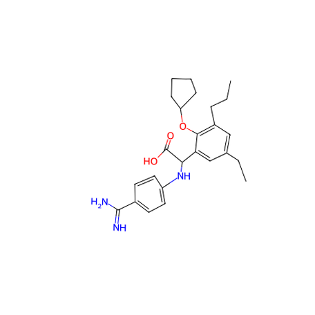 CCCc1cc(CC)cc(C(Nc2ccc(C(=N)N)cc2)C(=O)O)c1OC1CCCC1